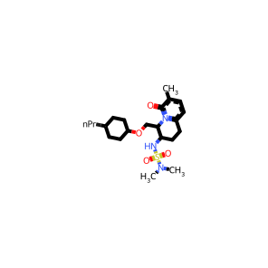 CCCC1CCC(OCC2C(NS(=O)(=O)N(C)C)CCc3ccc(C)c(=O)n32)CC1